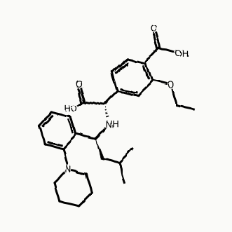 CCOc1cc([C@H](N[C@@H](CC(C)C)c2ccccc2N2CCCCC2)C(=O)O)ccc1C(=O)O